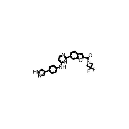 O=C(c1cc2ccc(-c3nccc(Nc4ccc(-c5cn[nH]c5)cc4)n3)cc2o1)N1CC(F)(F)C1